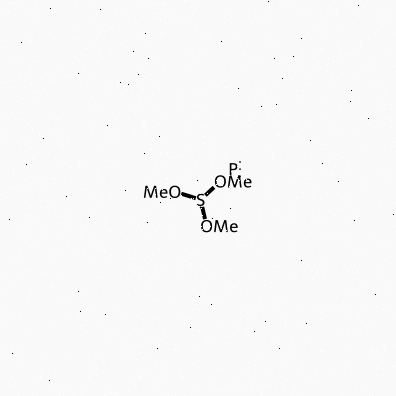 CO[S](OC)OC.[P]